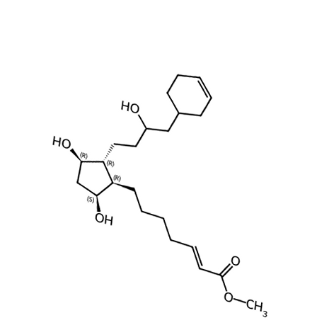 COC(=O)C=CCCCC[C@@H]1[C@@H](CCC(O)CC2CC=CCC2)[C@H](O)C[C@@H]1O